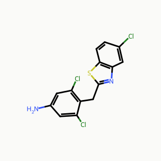 Nc1cc(Cl)c(Cc2nc3cc(Cl)ccc3s2)c(Cl)c1